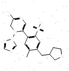 Cc1cc(C2=CN=C(N)CN2n2cncn2)c(S(N)(=O)=O)cc1CC1CCNC1